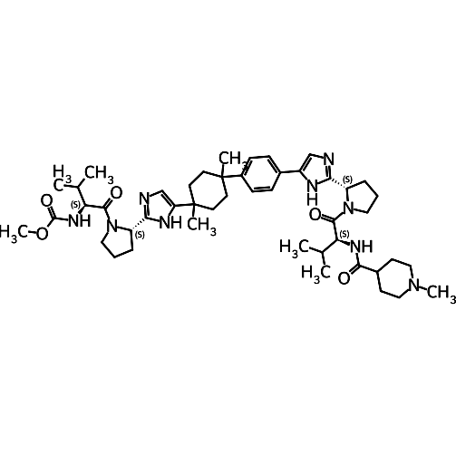 COC(=O)N[C@H](C(=O)N1CCC[C@H]1c1ncc(C2(C)CCC(C)(c3ccc(-c4cnc([C@@H]5CCCN5C(=O)[C@@H](NC(=O)C5CCN(C)CC5)C(C)C)[nH]4)cc3)CC2)[nH]1)C(C)C